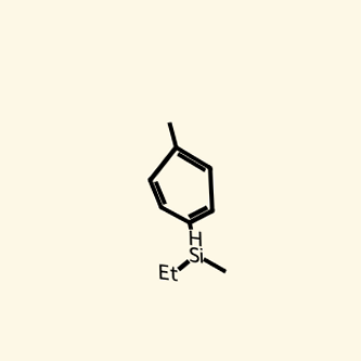 CC[SiH](C)c1ccc(C)cc1